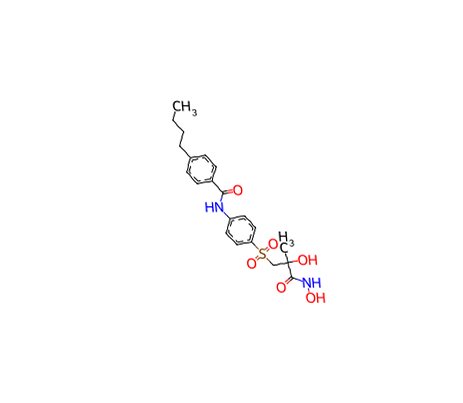 CCCCc1ccc(C(=O)Nc2ccc(S(=O)(=O)CC(C)(O)C(=O)NO)cc2)cc1